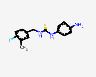 Nc1ccc(NC(=S)NCc2ccc(F)c(C(F)(F)F)c2)cc1